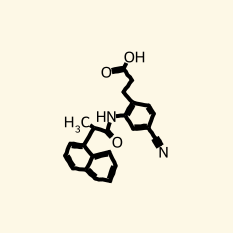 CC(C(=O)Nc1cc(C#N)ccc1CCC(=O)O)c1cccc2ccccc12